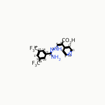 N/C(=N\N/C=C(/C(=O)O)c1ccncc1)c1cc(C(F)(F)F)cc(C(F)(F)F)c1